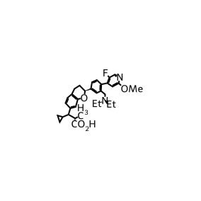 CCN(CC)Cc1cc([C@@H]2CCc3ccc(C(C4CC4)[C@H](C)C(=O)O)cc3O2)ccc1-c1cc(OC)ncc1F